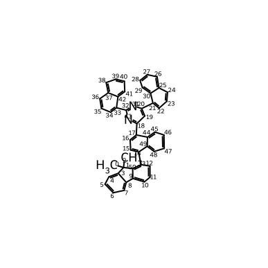 CC1(C)c2ccccc2-c2cccc(-c3ccc(-c4cc(-c5cccc6ccccc56)nc(-c5cccc6ccccc56)n4)c4ccccc34)c21